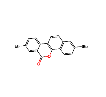 CCc1ccc2c(c1)c(=O)oc1c3ccc(C(C)(C)C)cc3ccc21